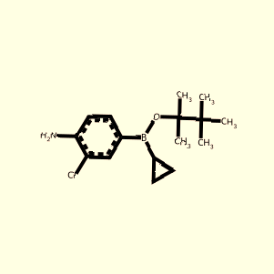 CC(C)(C)C(C)(C)OB(c1ccc(N)c(Cl)c1)C1CC1